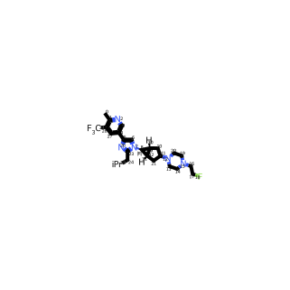 Cc1ncc(-c2cn([C@H]3[C@@H]4CC(N5CCN(CCF)CC5)C[C@@H]43)c(CC(C)C)n2)cc1C(F)(F)F